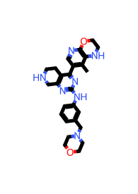 Cc1c(-c2nc(Nc3cccc(CN4CCOCC4)c3)nc3c2CCNC3)cnc2c1NCCO2